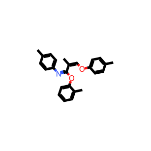 CC(=COc1ccc(C)cc1)C(=Nc1ccc(C)cc1)Oc1ccccc1C